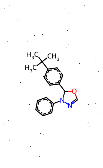 CC(C)(C)c1ccc(C2OC=NN2c2ccccc2)cc1